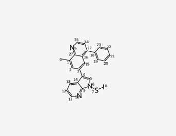 Cc1cc(-c2cn(SI)c3ncccc23)cc2c(-c3ccccc3)ccnc12